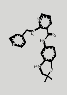 CC1(C)CNc2cc(NC(=O)c3cccnc3NCc3ccncc3)ccc2O1